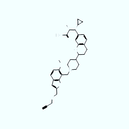 C#CCOCc1cc2ccc(OC)c(CN3CCC(C4CCc5ccc([C@H](C6CC6)[C@H](C)C(=O)O)cc5O4)CC3)c2o1